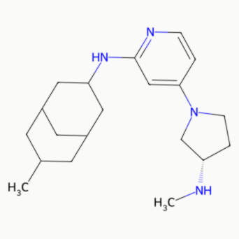 CN[C@H]1CCN(c2ccnc(NC3CC4CC(C)CC(C4)C3)c2)C1